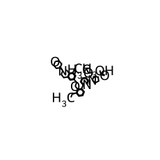 CCc1cc(COc2c(CC)cccc2-c2cccc(N3CC[C@@H](C(=O)O)[C@H]3COC)n2)cc2c1CN(C1CCOCC1)CC2